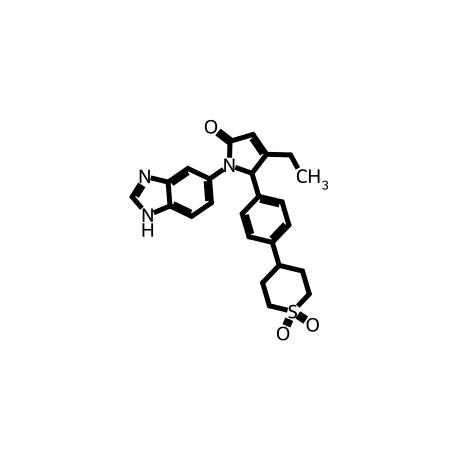 CCC1=CC(=O)N(c2ccc3[nH]cnc3c2)C1c1ccc(C2CCS(=O)(=O)CC2)cc1